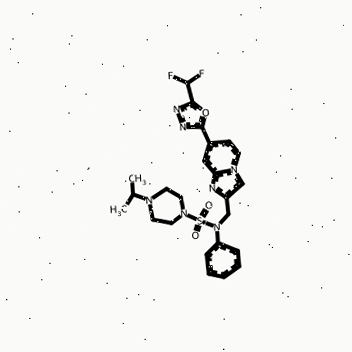 CC(C)N1CCN(S(=O)(=O)N(Cc2cn3ccc(-c4nnc(C(F)F)o4)cc3n2)c2ccccc2)CC1